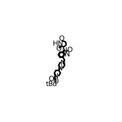 Cn1c(=O)n(C2CCC(=O)NC2=O)c2cccc(CN3CCN(C4CCN(C(=O)OC(C)(C)C)CC4)CC3)c21